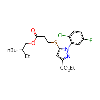 CCCCC(CC)COC(=O)CCSc1cc(C(=O)OCC)nn1-c1cc(F)ccc1Cl